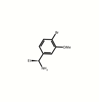 CC[C@H](N)c1ccc(Br)c(OC)c1